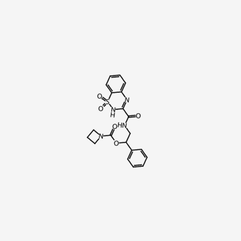 O=C(NCC(OC(=O)N1CCC1)c1ccccc1)C1=Nc2ccccc2S(=O)(=O)N1